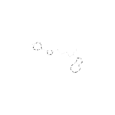 CC(NCCCc1ccc(-c2ccncc2)o1)c1ccc2cccccc1-2